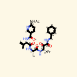 C=C(C)[C@H](NC(=O)c1ccc(NC(C)=O)nc1)C(=O)N[C@@H](C)C(=O)N[C@H](C(=O)C(=O)NCc1ccccc1)C(C)C